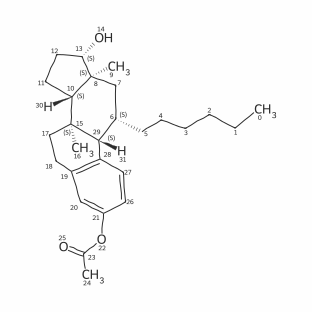 CCCCCC[C@H]1C[C@@]2(C)[C@@H](CC[C@@H]2O)[C@]2(C)CCc3cc(OC(C)=O)ccc3[C@@H]12